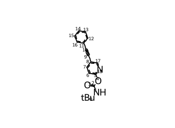 CC(C)(C)NC(=O)Oc1ccc(C#Cc2ccccc2)cn1